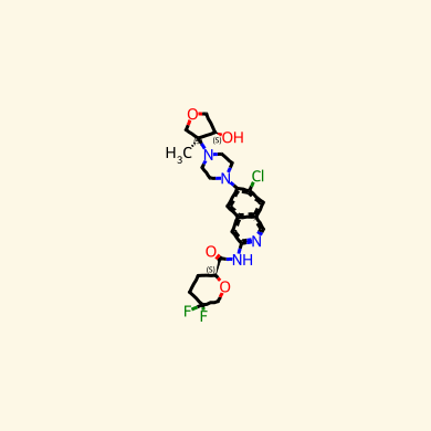 C[C@]1(N2CCN(c3cc4cc(NC(=O)[C@@H]5CCC(F)(F)CO5)ncc4cc3Cl)CC2)COC[C@H]1O